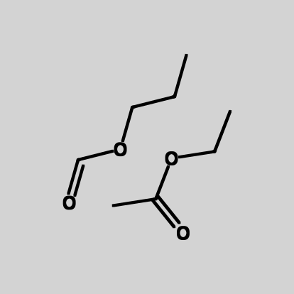 CCCOC=O.CCOC(C)=O